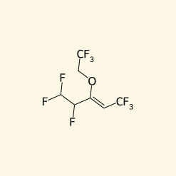 FC(F)C(F)C(=CC(F)(F)F)OCC(F)(F)F